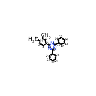 C=C/C=C\C(=C/C=C)c1nc(-c2ccccc2)nc(-c2ccccc2)n1